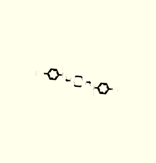 O=C(Nc1ccc(Br)cc1)N1CCN(C(=O)Nc2ccc(Br)cc2)CC1